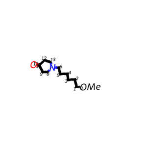 COCCCCCCN1CCC(=O)CC1